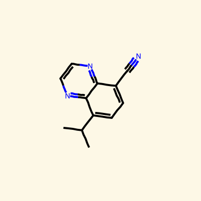 CC(C)c1ccc(C#N)c2nccnc12